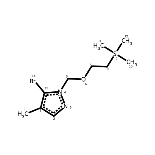 Cc1cnn(COCC[Si](C)(C)C)c1Br